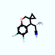 N#C[C@@H](N)C1c2cc(F)c(F)cc2OCC12CC2